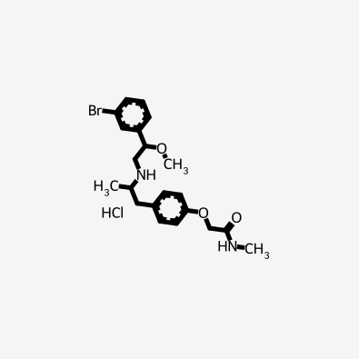 CNC(=O)COc1ccc(CC(C)NCC(OC)c2cccc(Br)c2)cc1.Cl